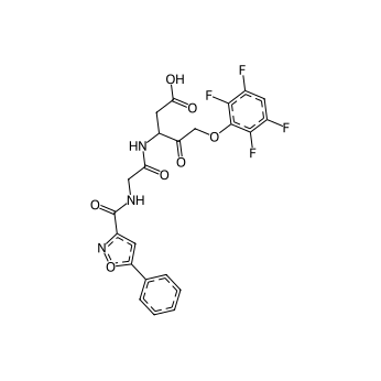 O=C(O)CC(NC(=O)CNC(=O)c1cc(-c2ccccc2)on1)C(=O)COc1c(F)c(F)cc(F)c1F